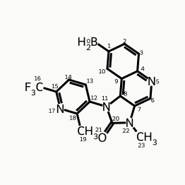 Bc1ccc2ncc3c(c2c1)n(-c1ccc(C(F)(F)F)nc1C)c(=O)n3C